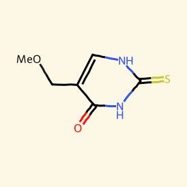 COCc1c[nH]c(=S)[nH]c1=O